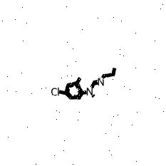 CCCN=CN(C)c1ccc(Cl)cc1C